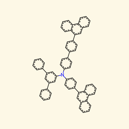 c1ccc(-c2cc(-c3ccccc3)cc(N(c3ccc(-c4ccc(-c5cc6ccccc6c6ccccc56)cc4)cc3)c3ccc(-c4cc5ccccc5c5ccccc45)cc3)c2)cc1